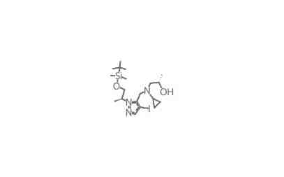 C[C@H](O)CN(Cc1c(I)cnn1[C@@H](C)CO[Si](C)(C)C(C)(C)C)C1CC1